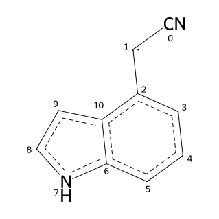 N#C[CH]c1cccc2[nH]ccc12